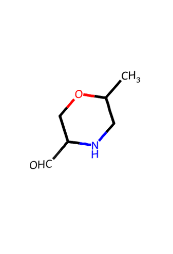 CC1CNC(C=O)CO1